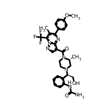 COc1ccc(-c2nc3c(C(=O)N4CCN([C@@H](CO)c5ccccc5NC(N)=O)C[C@H]4C)cnn3c(C(F)(F)F)c2C)cc1